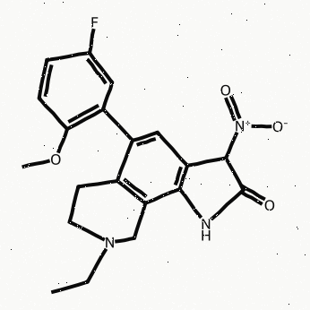 CCN1CCc2c(-c3cc(F)ccc3OC)cc3c(c2C1)NC(=O)C3[N+](=O)[O-]